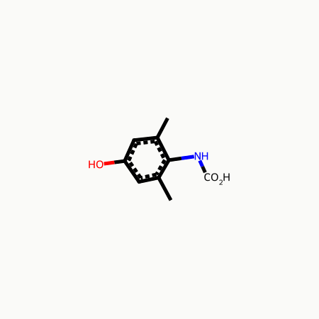 Cc1cc(O)cc(C)c1NC(=O)O